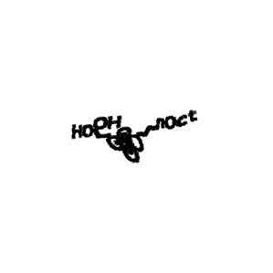 CCCCCCCCCCCCOS(=O)(=O)OCCC(O)O